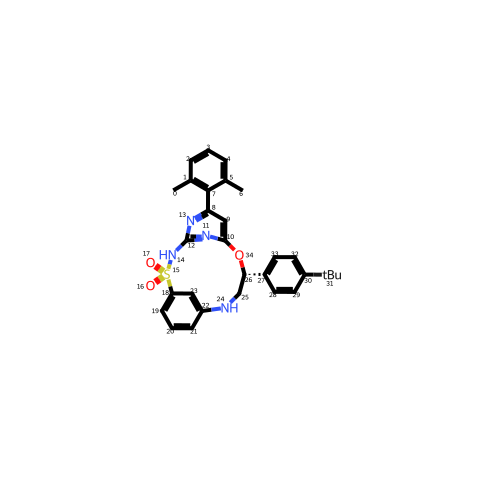 Cc1cccc(C)c1-c1cc2nc(n1)NS(=O)(=O)c1cccc(c1)NC[C@@H](c1ccc(C(C)(C)C)cc1)O2